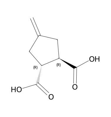 C=C1C[C@@H](C(=O)O)[C@H](C(=O)O)C1